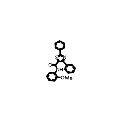 COc1ccccc1NC(=O)c1sc(-c2ccccc2)nc1-c1ccccc1